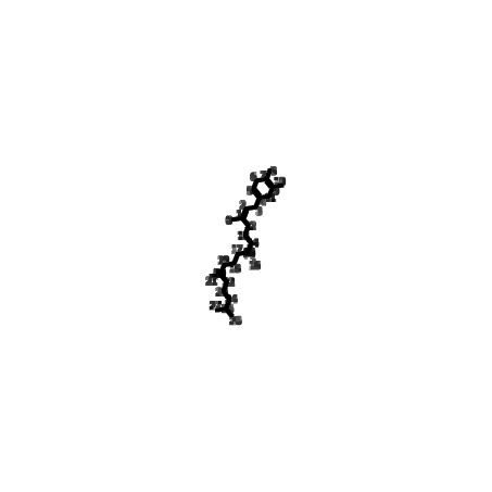 CC(=CCC1=CCC(C)=C(C)C1)CCC[C@H](C)CCC[C@H](C)CCCC(C)C